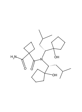 CC(C)C[C@@H](N(C(=O)C1(C(N)=O)CCC1)[C@H](CC(C)C)C1(O)CCCC1)C1(O)CCCC1